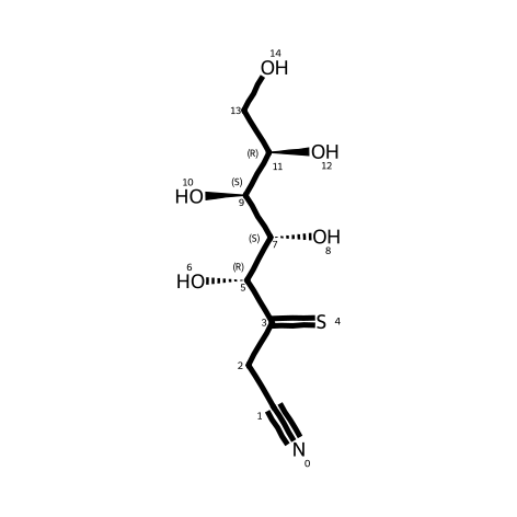 N#CCC(=S)[C@H](O)[C@@H](O)[C@@H](O)[C@H](O)CO